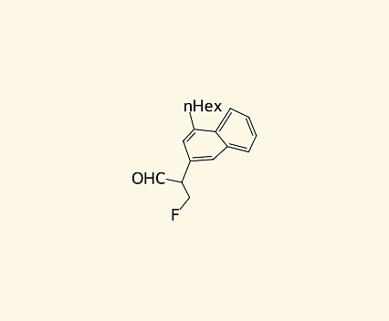 CCCCCCc1cc(C(C=O)CF)cc2ccccc12